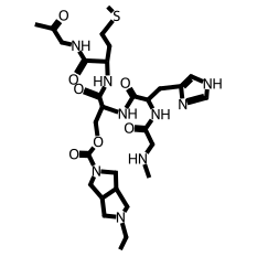 CCN1CC2CN(C(=O)OCC(NC(=O)C(Cc3c[nH]cn3)NC(=O)CNC)C(=O)NC(CCSC)C(=O)NCC(C)=O)CC2C1